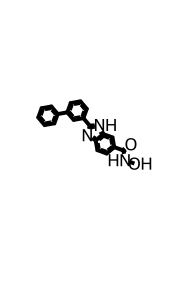 O=C(NO)c1ccc2nc(-c3cccc(-c4ccccc4)c3)[nH]c2c1